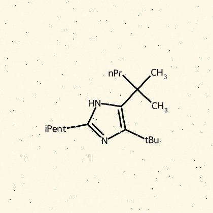 CCCC(C)c1nc(C(C)(C)C)c(C(C)(C)CCC)[nH]1